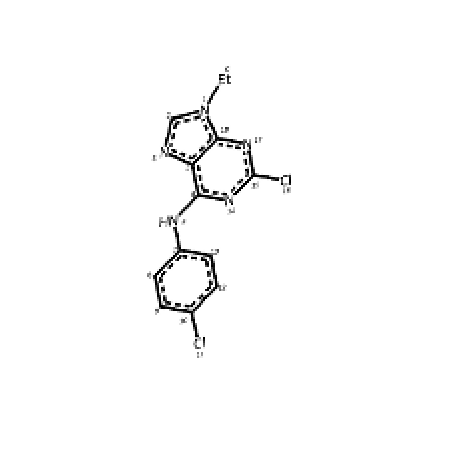 CCn1cnc2c(Nc3ccc(Cl)cc3)nc(Cl)nc21